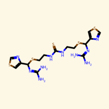 NC(N)=NC(SCCNC(=S)NCCSC(N=C(N)N)c1cscn1)c1cscn1